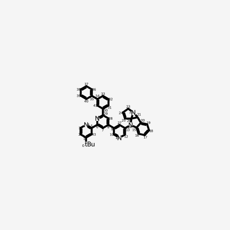 CC(C)(C)c1ccnc(-c2cc(-c3cncc(N4c5ccccc5C5N6CC=CC546)c3)cc(-c3cccc(-c4ccccc4)c3)n2)c1